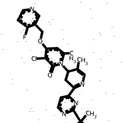 CC1=CN=C(c2ccnc(C(C)(C)O)n2)CC1n1c(C)cc(OCc2cnccc2F)c(Cl)c1=O